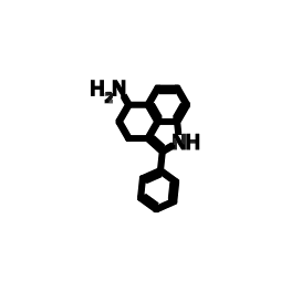 NC1CCc2c(-c3ccccc3)[nH]c3cccc1c23